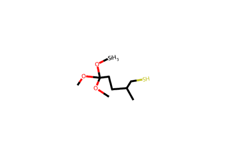 COC(CCC(C)CS)(OC)O[SiH3]